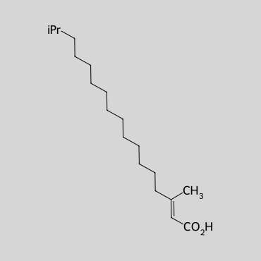 C/C(=C\C(=O)O)CCCCCCCCCCCCC(C)C